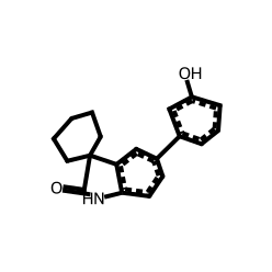 O=C1Nc2ccc(-c3cccc(O)c3)cc2C12CCCCC2